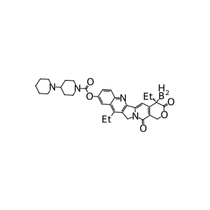 B[C@]1(CC)C(=O)OCc2c1cc1n(c2=O)Cc2c-1nc1ccc(OC(=O)N3CCC(N4CCCCC4)CC3)cc1c2CC